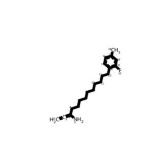 C=C=C(N)CCCCCCCCCCc1ccc(C)cc1F